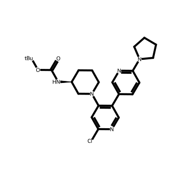 CC(C)(C)OC(=O)N[C@H]1CCCN(c2cc(Cl)ncc2-c2ccc(N3CCCC3)nc2)C1